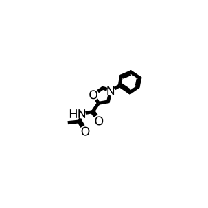 CC(=O)NC(=O)C1CN(c2ccccc2)CO1